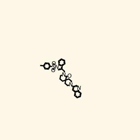 Cc1ccc(S(=O)(=O)n2cc(CN3CCCC4(CCN(c5cnc6ccccc6c5)CC4)C3=O)c3ccccc32)cc1